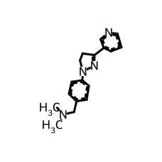 CN(C)Cc1ccc(N2CCC(c3cccnc3)=N2)cc1